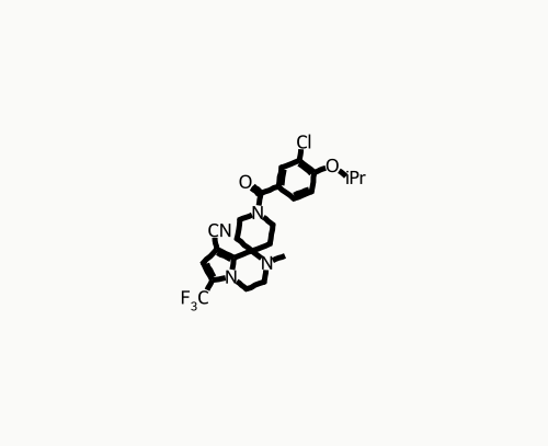 CC(C)Oc1ccc(C(=O)N2CCC3(CC2)c2c(C#N)cc(C(F)(F)F)n2CCN3C)cc1Cl